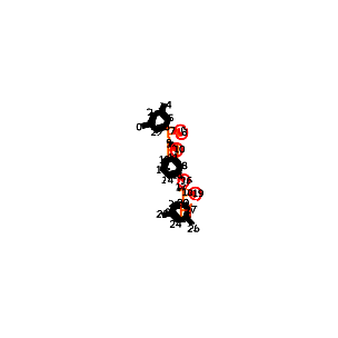 Cc1cc(C)cc([PH](=O)COc2c[c]cc(OC[PH](=O)c3cc(C)cc(C)c3)c2)c1